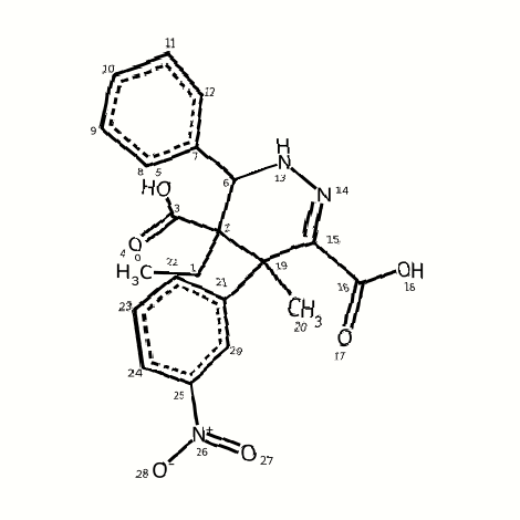 CCC1(C(=O)O)C(c2ccccc2)NN=C(C(=O)O)C1(C)c1cccc([N+](=O)[O-])c1